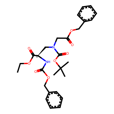 CCOC(=O)[C@@H](CN(CC(=O)OCc1ccccc1)C(=O)OC(C)(C)C)NC(=O)OCc1ccccc1